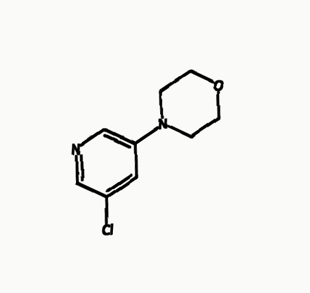 Clc1cncc(N2CCOCC2)c1